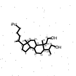 CC(C)CCCC(C)C1CCC2C3CCC(C(C)CO)C(C)(CCO)C3CCC12C